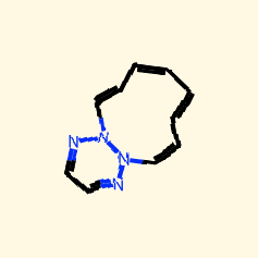 C1=NN2\C=C/C=C/C=C\C=C\N2N=C1